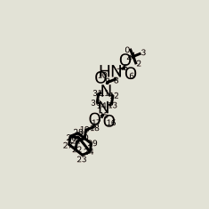 CC(C)(C)OC(=O)NCC(=O)N1CCN(C(=O)OCCC23CC4CC(CC(C4)C2)C3)CC1